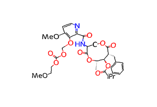 COCCOC(=O)OCOc1c(OC)ccnc1C(=O)N[C@H]1COC(=O)[C@H](Cc2ccccc2)[C@@H](OC(=O)C(C)C)[C@H](C)OC1=O